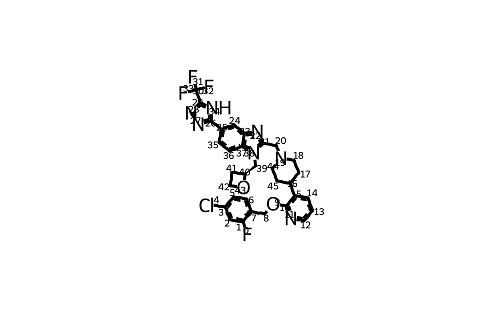 Fc1cc(Cl)ccc1COc1ncccc1C1CCN(Cc2nc3cc(-c4nnc(C(F)(F)F)[nH]4)ccc3n2C[C@@H]2CCO2)CC1